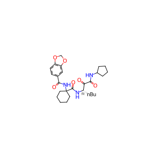 CCCC[C@H](NC(=O)C1(NC(=O)c2ccc3c(c2)OCO3)CCCCC1)C(=O)C(=O)NC1CCCC1